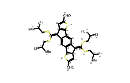 CCCCC(CC)CSC(SCC(CC)CCCC)=C1c2cc3c(cc2-c2sc(C=O)cc21)C(=C(SCC(CC)CCCC)SCC(CC)CCCC)C1C=C(C=O)SC31